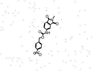 CN1C(=O)c2ccc(NC(=O)OCc3ccc([N+](=O)[O-])cc3)cc2C1=O